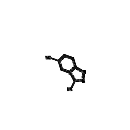 N#Cc1ccc2nnc(S)n2c1